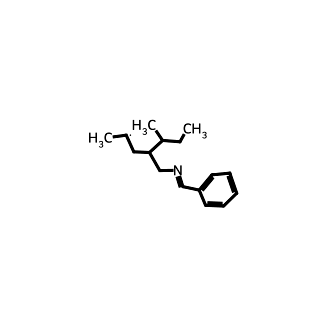 C[CH]CC(CN=Cc1ccccc1)C(C)CC